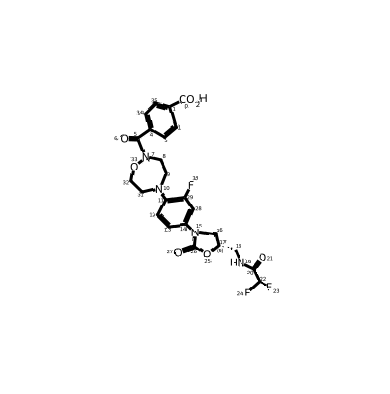 O=C(O)c1ccc(C(=O)N2CCN(c3ccc(N4C[C@H](CNC(=O)C(F)F)OC4=O)cc3F)CCO2)cc1